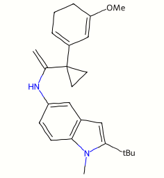 C=C(Nc1ccc2c(c1)cc(C(C)(C)C)n2C)C1(C2=CCCC(OC)=C2)CC1